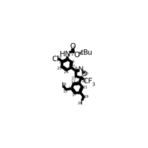 CC(C)(C)OC(=O)Nc1cc(C2=NOC(c3cc(CI)cc(CI)c3)(C(F)(F)F)C2)ccc1Cl